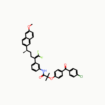 COc1ccc2cc([C@H](C)CCC(=C(F)F)c3cccc(NC(=O)C(C)(C)Oc4ccc(C(=O)c5ccc(Cl)cc5)cc4)c3)ccc2c1